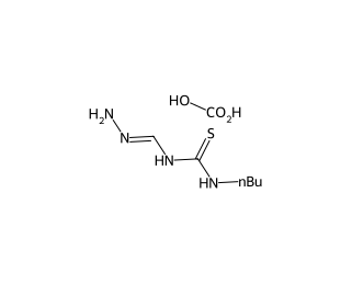 CCCCNC(=S)NC=NN.O=C(O)O